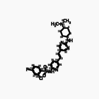 CN(C)[C@H]1CC[C@H](Nc2ncc(/C=C/c3ccc(NS(=O)(=O)c4ccc(F)cc4Cl)nc3)cn2)CC1